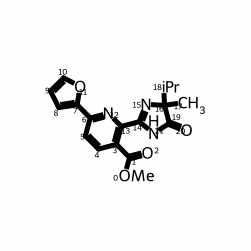 COC(=O)c1ccc(-c2ccco2)nc1C1=NC(C)(C(C)C)C(=O)N1